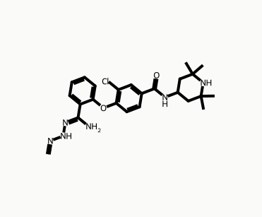 C=NN/N=C(\N)c1ccccc1Oc1ccc(C(=O)NC2CC(C)(C)NC(C)(C)C2)cc1Cl